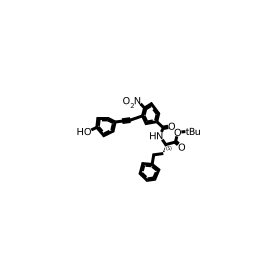 CC(C)(C)OC(=O)[C@H](CCc1ccccc1)NC(=O)c1ccc([N+](=O)[O-])c(C#Cc2ccc(O)cc2)c1